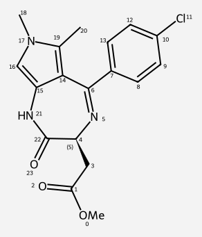 COC(=O)C[C@@H]1N=C(c2ccc(Cl)cc2)c2c(cn(C)c2C)NC1=O